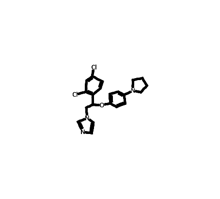 Clc1ccc(C(Cn2ccnc2)Oc2ccc(N3CCCC3)cc2)c(Cl)c1